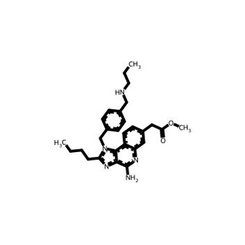 CCCCc1nc2c(N)nc3cc(CC(=O)OC)ccc3c2n1Cc1ccc(CNCCC)cc1